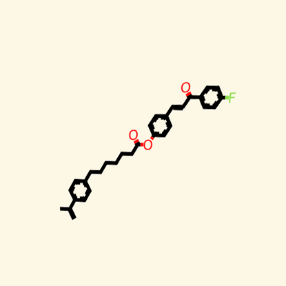 C=C(C)c1ccc(CCCCCCC(=O)Oc2ccc(C=CC(=O)c3ccc(F)cc3)cc2)cc1